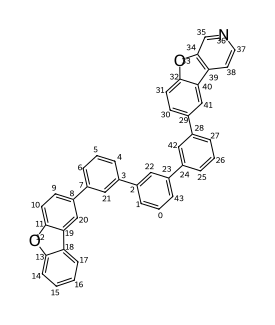 c1cc(-c2cccc(-c3ccc4oc5ccccc5c4c3)c2)cc(-c2cccc(-c3ccc4oc5cnccc5c4c3)c2)c1